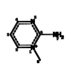 C[n+]1cccnc1N